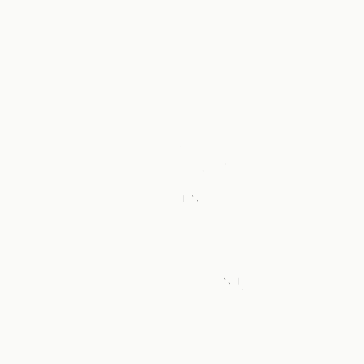 NCCNC(=O)c1cc2c(cc1-c1ccccc1)CCCC2